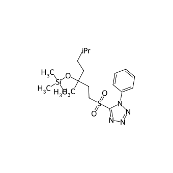 CC(C)CCC(C)(CCS(=O)(=O)c1nnnn1-c1ccccc1)O[Si](C)(C)C